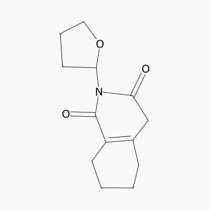 O=C1CC2=C(CCCC2)C(=O)N1C1CCCO1